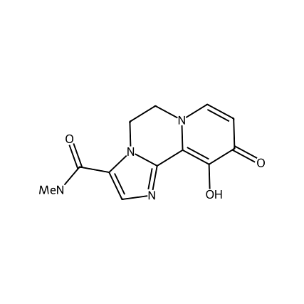 CNC(=O)c1cnc2n1CCn1ccc(=O)c(O)c1-2